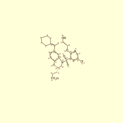 CC(=C1CCCCC1)c1ccc2c(c1)N(S(=O)(=O)c1cc(C(F)(F)F)cnc1OCCO)C[C@H](CCC(=O)O)O2